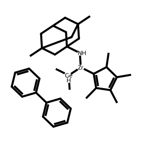 CC1=C(C)C(C)[C]([Zr]([NH]C23CC4CC(C)(CC(C)(C4)C2)C3)[GeH]([CH3])[CH3])=C1C.c1ccc(-c2ccccc2)cc1